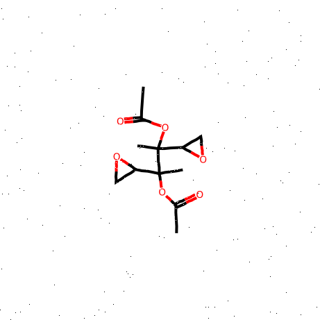 CC(=O)OC(C)(C1CO1)C(C)(OC(C)=O)C1CO1